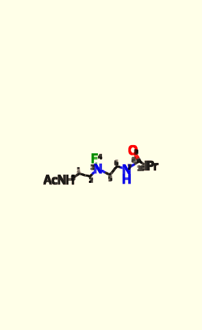 CC(=O)NCCN(F)CCNC(=O)C(C)C